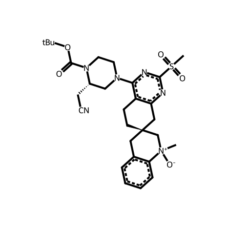 CC(C)(C)OC(=O)N1CCN(c2nc(S(C)(=O)=O)nc3c2CC[C@@]2(Cc4ccccc4[N+](C)([O-])C2)C3)C[C@@H]1CC#N